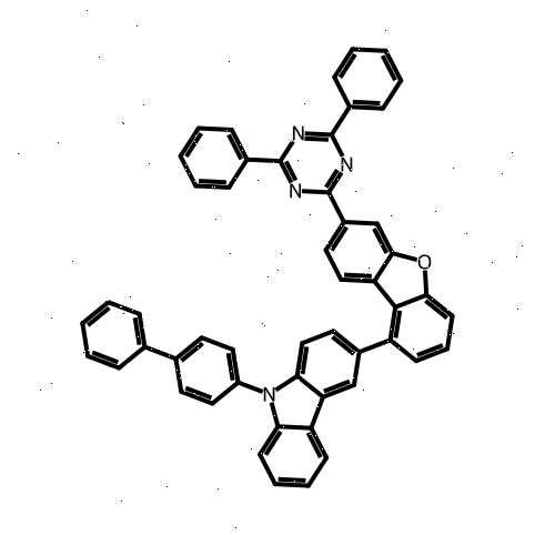 c1ccc(-c2ccc(-n3c4ccccc4c4cc(-c5cccc6oc7cc(-c8nc(-c9ccccc9)nc(-c9ccccc9)n8)ccc7c56)ccc43)cc2)cc1